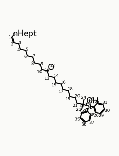 CCCCCCC/C=C\CCCCCCCCC(=O)CCCCCCCCCC(C)(C)[Si](O)(c1ccccc1)c1ccccc1